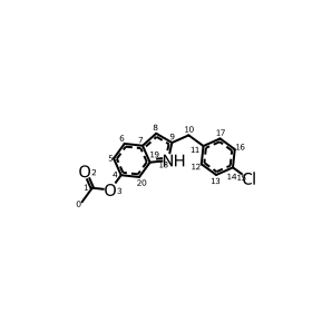 CC(=O)Oc1ccc2cc(Cc3ccc(Cl)cc3)[nH]c2c1